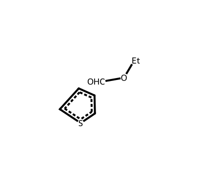 CCOC=O.c1ccsc1